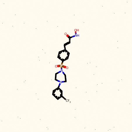 O=C(C=Cc1ccc(S(=O)(=O)N2CCN(c3cccc(C(F)(F)F)c3)CC2)cc1)NO